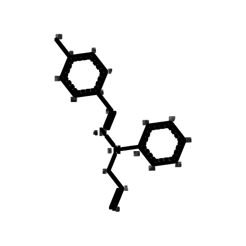 C=CCN(/N=C/c1ccc(C)cc1)c1ccccc1